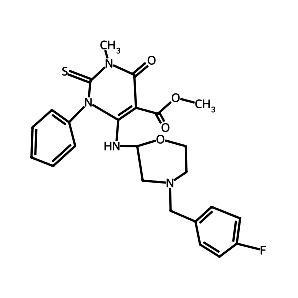 COC(=O)c1c(NC2CN(Cc3ccc(F)cc3)CCO2)n(-c2ccccc2)c(=S)n(C)c1=O